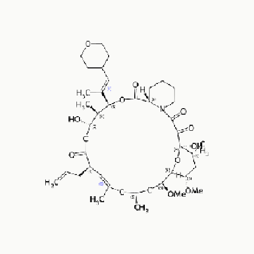 C=CC[C@@H]1/C=C(\C)C[C@H](C)C[C@H](OC)[C@H]2O[C@@](O)(C(=O)C(=O)N3CCCC[C@H]3C(=O)O[C@H](/C(C)=C/C3CCOCC3)[C@H](C)[C@@H](O)CC1=O)[C@H](C)C[C@@H]2OC